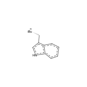 CC[C@@H](C)Cc1c[nH]c2ccccc12